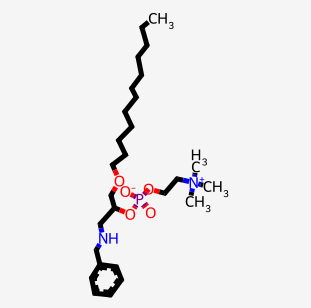 CCCCCCCCCCCCOCC(CNCc1ccccc1)OP(=O)([O-])OCC[N+](C)(C)C